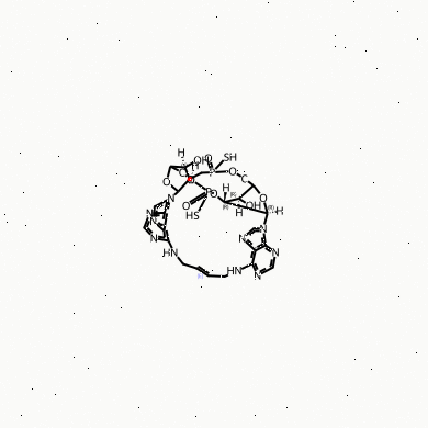 O=P1(S)C[C@H]2C3OC(COP(=O)(S)O[C@@H]4[C@H](O)C(CO1)O[C@H]4n1cnc4c(ncnc41)NC/C=C/CNc1ncnc4c1ncn43)[C@H]2O